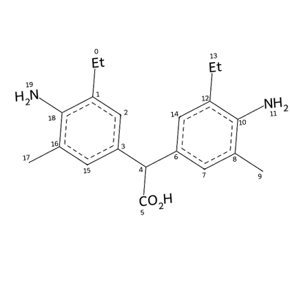 CCc1cc(C(C(=O)O)c2cc(C)c(N)c(CC)c2)cc(C)c1N